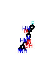 Cc1cc(CC(NC(=O)N2CCC(c3cc4ccc(F)cc4[nH]c3=O)CC2)C(=O)O)cc2cn[nH]c12